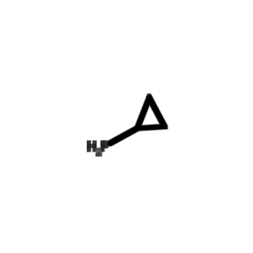 PC1CC1